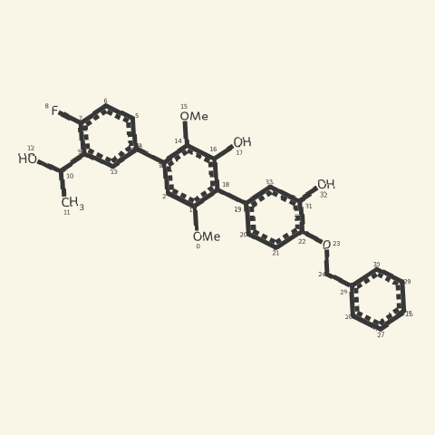 COc1cc(-c2ccc(F)c(C(C)O)c2)c(OC)c(O)c1-c1ccc(OCc2ccccc2)c(O)c1